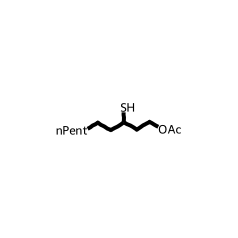 CCCCCCCC(S)CCOC(C)=O